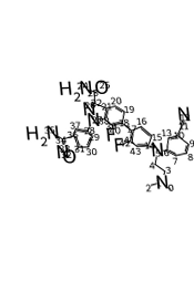 CN(C)CCN(c1cccc(C#N)c1)c1ccc(-c2ccc3c(C(N)=O)nn(-c4ccc5onc(N)c5c4)c3c2F)c(F)c1